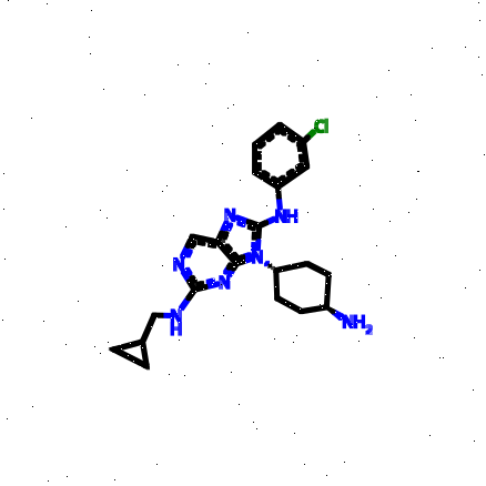 N[C@H]1CC[C@H](n2c(Nc3cccc(Cl)c3)nc3cnc(NCC4CC4)nc32)CC1